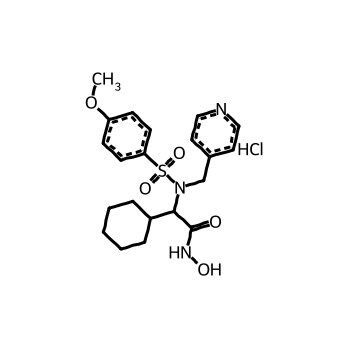 COc1ccc(S(=O)(=O)N(Cc2ccncc2)C(C(=O)NO)C2CCCCC2)cc1.Cl